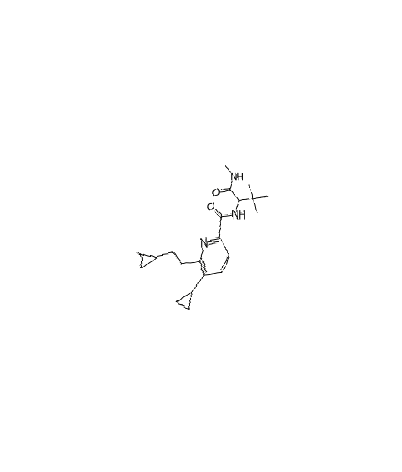 CNC(=O)C(NC(=O)c1ccc(C2CC2)c(CCC2CC2)n1)C(C)(C)C